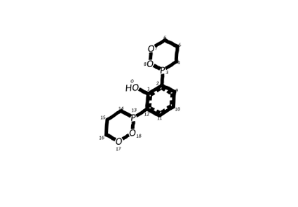 Oc1c(P2CCCOO2)cccc1P1CCCOO1